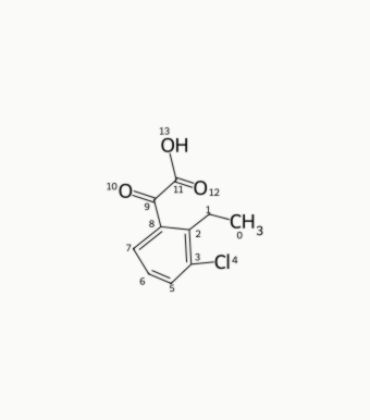 CCc1c(Cl)cccc1C(=O)C(=O)O